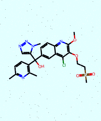 COc1nc2ccc(C(O)(c3ccc(C)nc3C)c3cnnn3C)cc2c(Cl)c1OCCS(C)(=O)=O